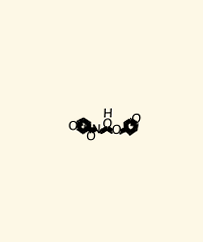 CC12CCC(COCC(O)CNC(=O)C3CCC4(C)OC4C3)CC1O2